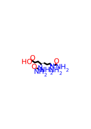 NC(=O)N(N)CCC[C@@H](CCC(=O)O)N(N)C(N)=O